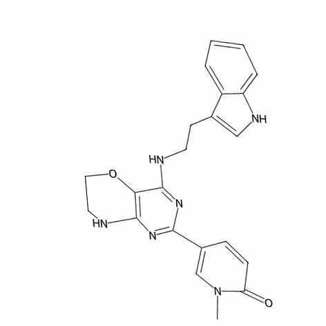 Cn1cc(-c2nc3c(c(NCCc4c[nH]c5ccccc45)n2)OCCN3)ccc1=O